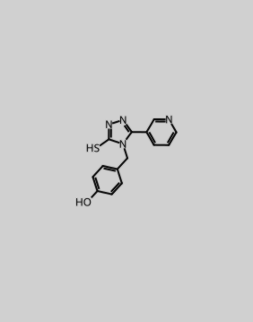 Oc1ccc(Cn2c(S)nnc2-c2cccnc2)cc1